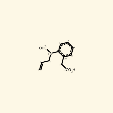 C=CCN(C=O)c1ccccc1CC(=O)O